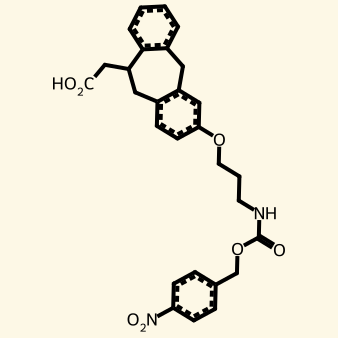 O=C(O)CC1Cc2ccc(OCCCNC(=O)OCc3ccc([N+](=O)[O-])cc3)cc2Cc2ccccc21